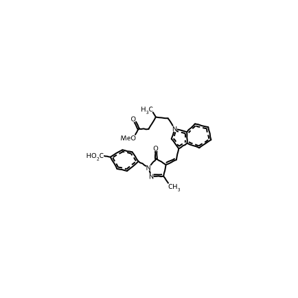 COC(=O)CC(C)Cn1cc(/C=C2\C(=O)N(c3ccc(C(=O)O)cc3)N=C2C)c2ccccc21